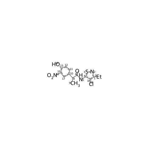 CCc1nsc(NC(=O)C(C)c2ccc(O)c([N+](=O)[O-])c2)c1Cl